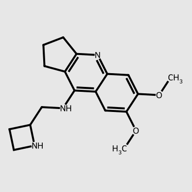 COc1cc2nc3c(c(NCC4CCN4)c2cc1OC)CCC3